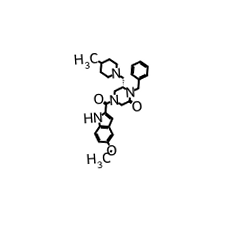 COc1ccc2[nH]c(C(=O)N3CC(=O)N(Cc4ccccc4)[C@@H](CN4CCC(C)CC4)C3)cc2c1